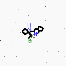 N#CN1CC2CCCCC2CC1c1[nH]c2ccccc2c1CCBr